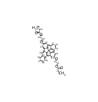 C=CC(=O)OCCOc1ccc(C2(c3ccccc3)c3ccc(OCCOC(=O)C=C)cc3-c3cc4ccccc4cc32)cc1